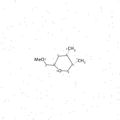 COCC1C[C@H](C)[C@H](C)CO1